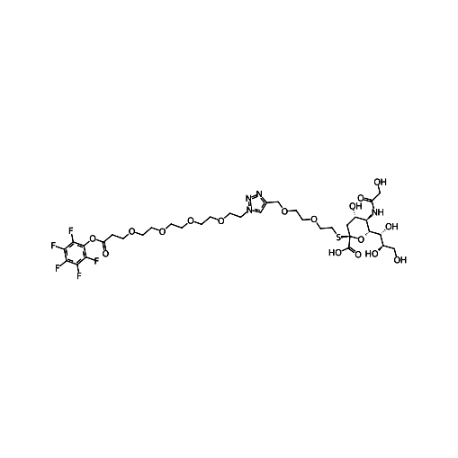 O=C(CO)N[C@H]1[C@H]([C@H](O)[C@H](O)CO)O[C@](SCCOCCOCc2cn(CCOCCOCCOCCOCCC(=O)Oc3c(F)c(F)c(F)c(F)c3F)nn2)(C(=O)O)C[C@@H]1O